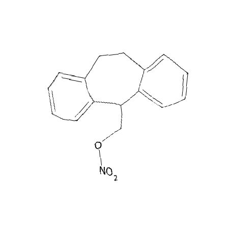 O=[N+]([O-])OCC1c2ccccc2CCc2ccccc21